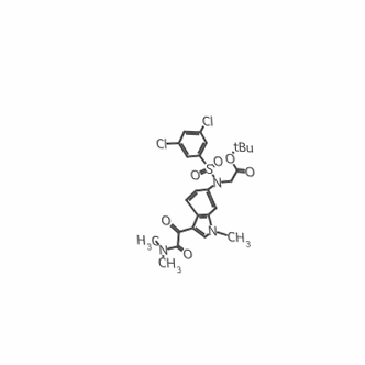 CN(C)C(=O)C(=O)c1cn(C)c2cc(N(CC(=O)OC(C)(C)C)S(=O)(=O)c3cc(Cl)cc(Cl)c3)ccc12